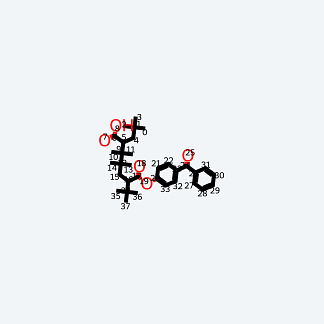 CC(C)(C)CC(C(=O)O)C(C)(C)C(C)(C)CC(C(=O)Oc1ccc(C(=O)c2ccccc2)cc1)C(C)(C)C